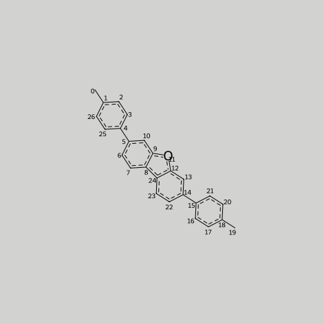 Cc1ccc(-c2ccc3c(c2)oc2cc(-c4ccc(C)cc4)ccc23)cc1